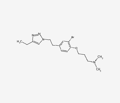 CCc1cn(CCc2ccc(OCCCN(C)C)c(Br)c2)nn1